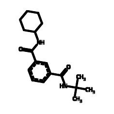 CC(C)(C)NC(=O)c1cccc(C(=O)NC2CCCCC2)c1